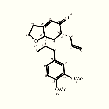 C=CC[C@@H]1C[C@@]2(C(C)Cc3ccc(OC)c(OC)c3)OCCC2=CC1=O